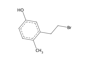 Cc1ccc(O)cc1CCBr